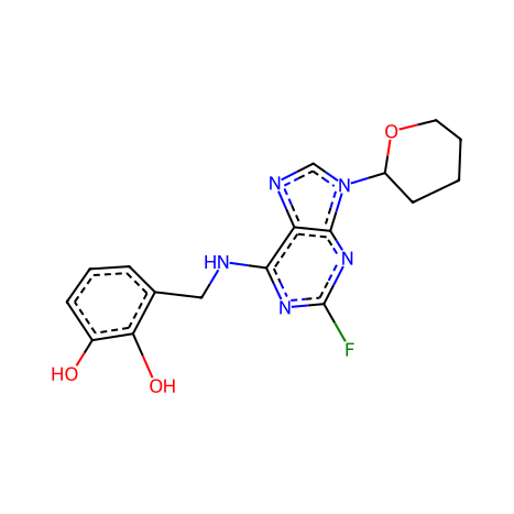 Oc1cccc(CNc2nc(F)nc3c2ncn3C2CCCCO2)c1O